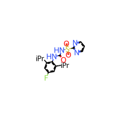 CC(C)c1cc(F)cc(C(C)C)c1NC(=O)NS(=O)(=O)c1ncccn1